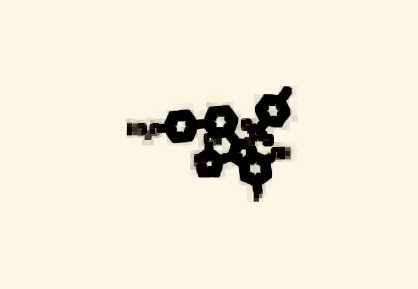 Cc1ccc(S(=O)(=O)n2c(-c3cccc(-c4ccc(C(=O)O)cc4)c3)c(-c3ccsc3C#N)c3cc(F)cc(O)c32)cc1